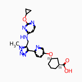 Cn1nnc(-c2ccc(O[C@H]3CCC[C@H](C(=O)O)C3)cn2)c1CNc1ccnc(OC2CC2)n1